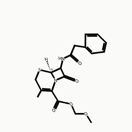 COCOC(=O)C1=C(C)CS[C@H]2C(NC(=O)Cc3ccccc3)C(=O)N12